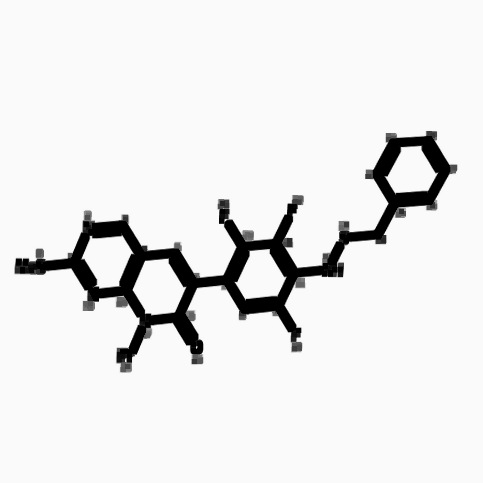 CSc1ncc2cc(-c3cc(F)c(NSCc4ccccc4)c(F)c3F)c(=O)n(C(C)C)c2n1